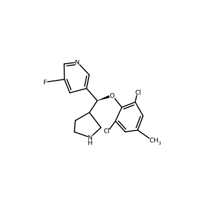 Cc1cc(Cl)c(O[C@H](c2cncc(F)c2)C2CCNC2)c(Cl)c1